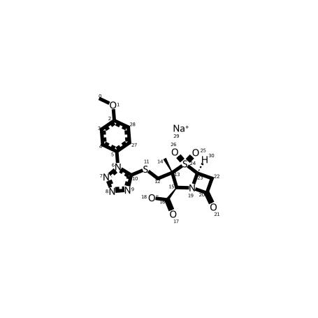 COc1ccc(-n2nnnc2SC[C@@]2(C)[C@H](C(=O)[O-])N3C(=O)C[C@@H]3S2(=O)=O)cc1.[Na+]